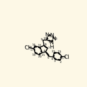 Clc1ccc(C=C2C=C(Cc3nnn[nH]3)c3cc(Cl)ccc32)cc1